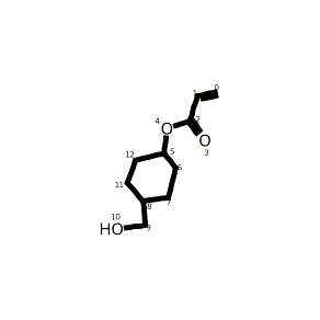 C=CC(=O)OC1CCC(CO)CC1